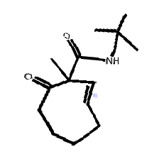 CC(C)(C)NC(=O)C1(C)/C=C/CCCCC1=O